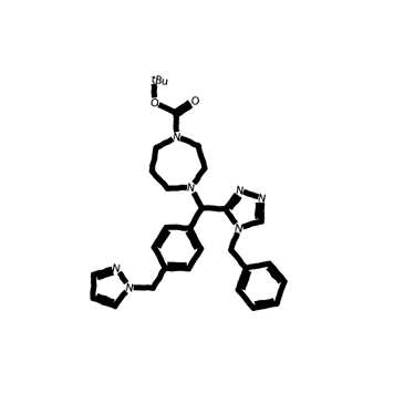 CC(C)(C)OC(=O)N1CCCN(C(c2ccc(Cn3cccn3)cc2)c2nncn2Cc2ccccc2)CC1